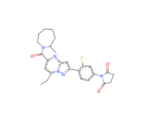 CCc1cc(C(=O)N2CCCCCC2C)nc2cc(-c3ccc(N4C(=O)CCC4=O)cc3F)nn12